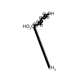 C=C=C=C=C=C=C=C=C=C=C=C=C=C=C=C=C=C=C=C=C=C=C=C=C=C=C=C=C=C=C=C=C=C(C(=O)O)C(=O)OCCN1C(=O)c2ccc(C(=O)c3ccc4c(c3)C(=O)N(CCO)C4=O)cc2C1=O